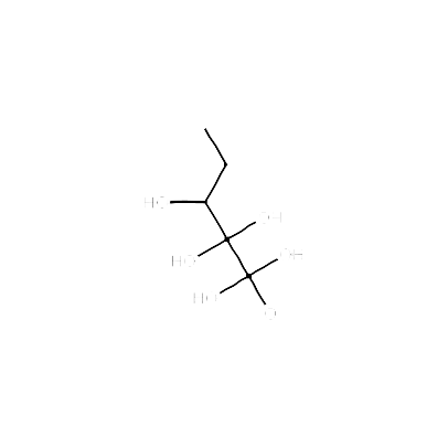 CCC(O)C(O)(O)C([O])(O)O